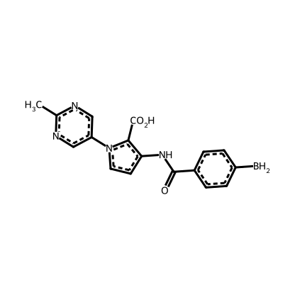 Bc1ccc(C(=O)Nc2ccn(-c3cnc(C)nc3)c2C(=O)O)cc1